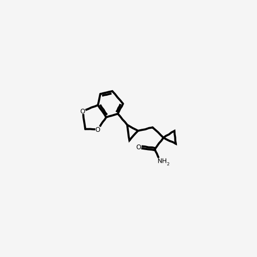 NC(=O)C1(CC2CC2c2cccc3c2OCO3)CC1